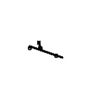 C=C(CCCN(C)C)OC(CCCCCCCCC/C=C/CCCOCCCCCC)CCCCCCCCC(C)=O